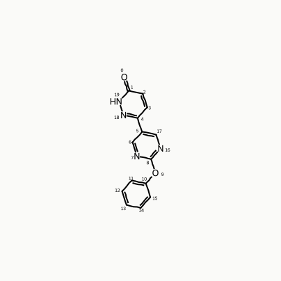 O=c1ccc(-c2cnc(Oc3ccccc3)nc2)n[nH]1